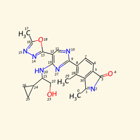 CC1=NC(=O)c2ccc(-c3ncc(-c4nnc(C)o4)c(NC(CO)C4CC4)n3)c(C)c21